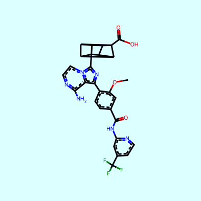 COc1cc(C(=O)Nc2cc(C(F)(F)F)ccn2)ccc1-c1nc(C23C4C5C2C2C3C4C52C(=O)O)n2ccnc(N)c12